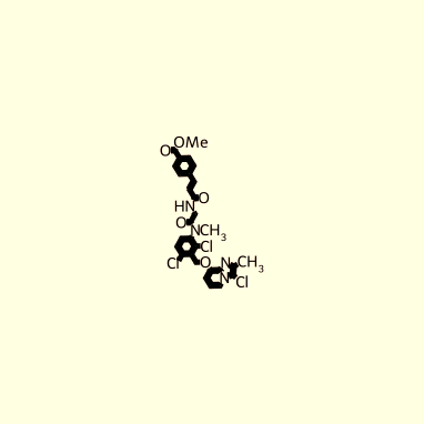 COC(=O)c1ccc(C=CC(=O)NCC(=O)N(C)c2ccc(Cl)c(COc3cccn4c(Cl)c(C)nc34)c2Cl)cc1